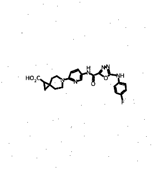 O=C(Nc1ccc(N2CCC3(CC2)CC3C(=O)O)nc1)c1nnc(Nc2ccc(F)cc2)o1